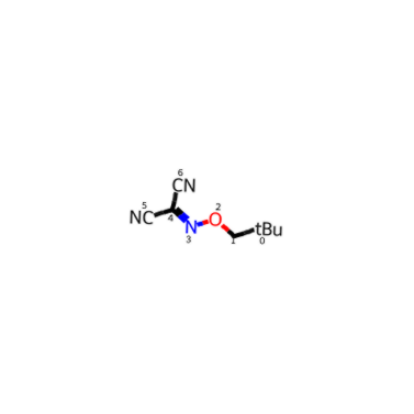 CC(C)(C)CON=C(C#N)C#N